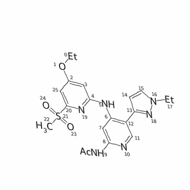 CCOc1cc(Nc2cc(NC(C)=O)ncc2-c2ccn(CC)n2)nc(S(C)(=O)=O)c1